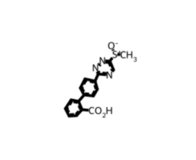 C[S+]([O-])c1cnc(-c2ccc(-c3ccccc3C(=O)O)cc2)nn1